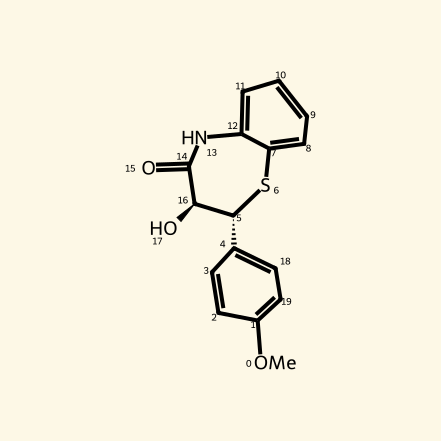 COc1ccc([C@H]2Sc3ccccc3NC(=O)[C@@H]2O)cc1